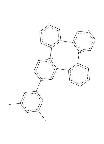 Cc1cc(C)cc(-c2cc[n+]3c(c2)-c2ccccc2-[n+]2ccccc2-c2ccccc2-3)c1